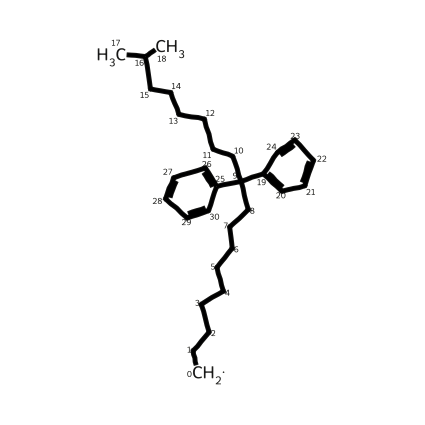 [CH2]CCCCCCCCC(CCCCCCC(C)C)(c1ccccc1)c1ccccc1